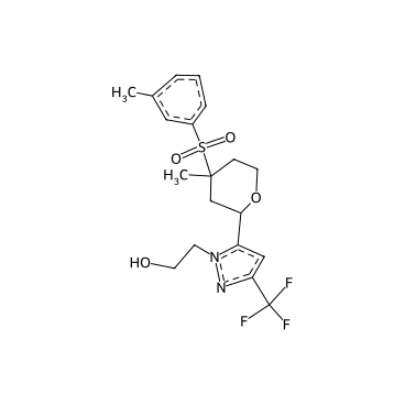 Cc1cccc(S(=O)(=O)C2(C)CCOC(c3cc(C(F)(F)F)nn3CCO)C2)c1